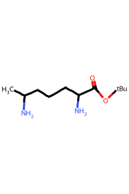 CC(N)CCCC(N)C(=O)OC(C)(C)C